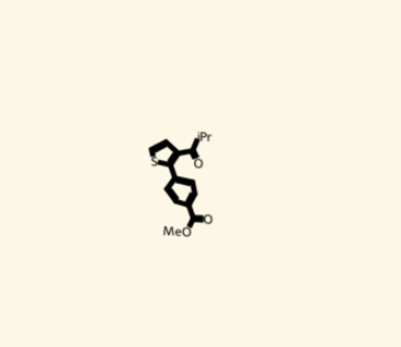 COC(=O)c1ccc(-c2sccc2C(=O)C(C)C)cc1